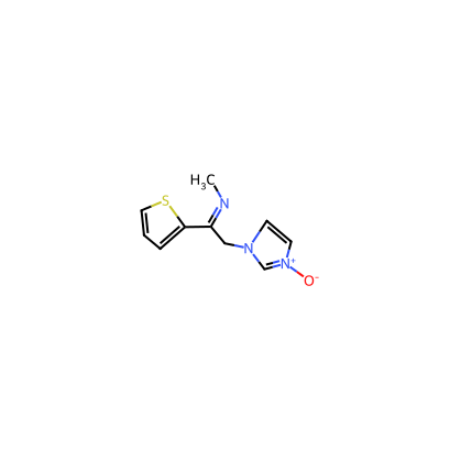 CN=C(Cn1cc[n+]([O-])c1)c1cccs1